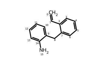 C=Cc1ccccc1Cc1ccccc1N